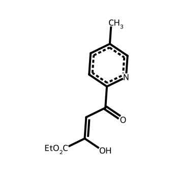 CCOC(=O)C(O)=CC(=O)c1ccc(C)cn1